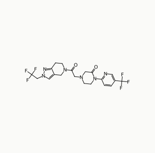 O=C(CN1CCN(c2ccc(C(F)(F)F)cn2)C(=O)C1)N1CCc2nn(CC(F)(F)F)cc2C1